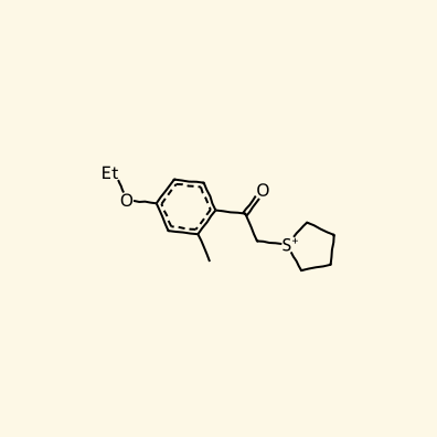 CCOc1ccc(C(=O)C[S+]2CCCC2)c(C)c1